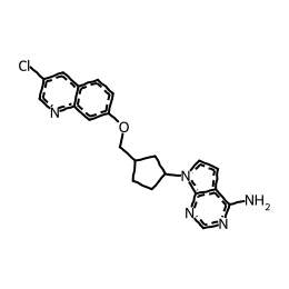 Nc1ncnc2c1ccn2C1CCC(COc2ccc3cc(Cl)cnc3c2)C1